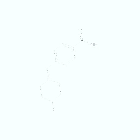 CC1CCN(Cc2ccc(C(N)=O)cc2)CC1